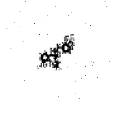 COc1cccc(-c2nc(Cc3cccc(C(F)(F)F)c3)oc2-c2ccc[nH]2)c1